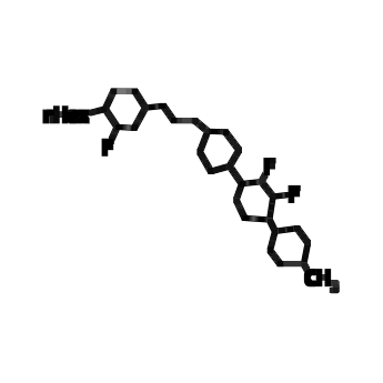 CCCCCCC1CCC(CCCC2CCC(C3CCC(C4CCC(C)CC4)C(F)C3F)CC2)CC1F